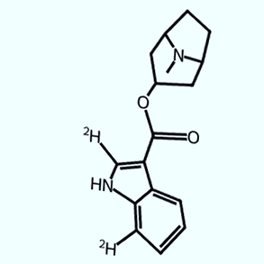 [2H]c1[nH]c2c([2H])cccc2c1C(=O)OC1CC2CCC(C1)N2C